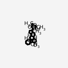 COC(=O)C(NC(C)=O)C1CC[C@H]2[C@@H]3CC[C@H]4C(C)(C5=CC=CC=CN5)C(=O)CC[C@]4(C)[C@H]3CC[C@]12C